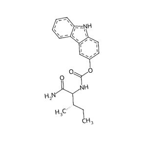 CC[C@H](C)C(NC(=O)Oc1ccc2[nH]c3ccccc3c2c1)C(N)=O